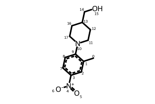 Cc1cc([N+](=O)[O-])ccc1N1CCC(CO)CC1